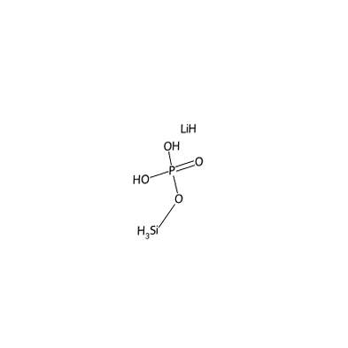 O=P(O)(O)O[SiH3].[LiH]